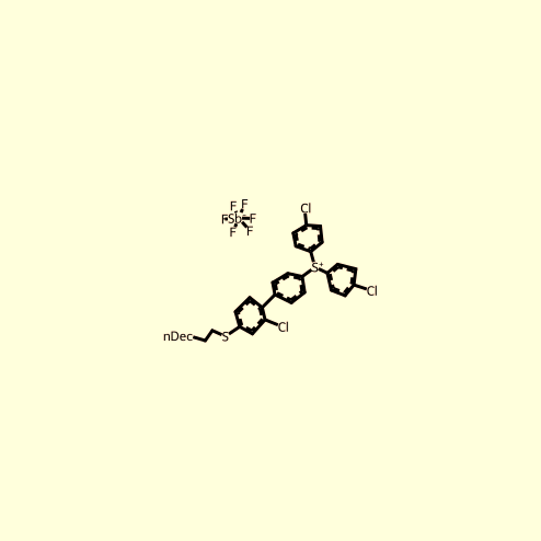 CCCCCCCCCCCCSc1ccc(-c2ccc([S+](c3ccc(Cl)cc3)c3ccc(Cl)cc3)cc2)c(Cl)c1.[F][Sb-]([F])([F])([F])([F])[F]